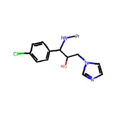 CC(C)NC(c1ccc(Cl)cc1)C(O)Cn1ccnc1